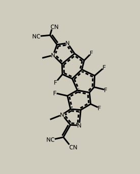 Cn1c(=C(C#N)C#N)nc2c(F)c3c(F)c(F)c4c(F)c5nc(=C(C#N)C#N)n(C)c5c(F)c4c3c(F)c21